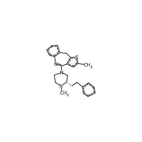 Cc1cc2c(s1)Cc1ccccc1N=C2N1CCN(C)[C@@H](CCc2ccccc2)C1